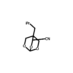 CC(C)CC12COC(OC1)OC2C#N